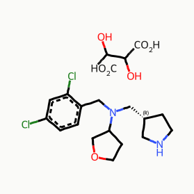 Clc1ccc(CN(C[C@@H]2CCNC2)C2CCOC2)c(Cl)c1.O=C(O)C(O)C(O)C(=O)O